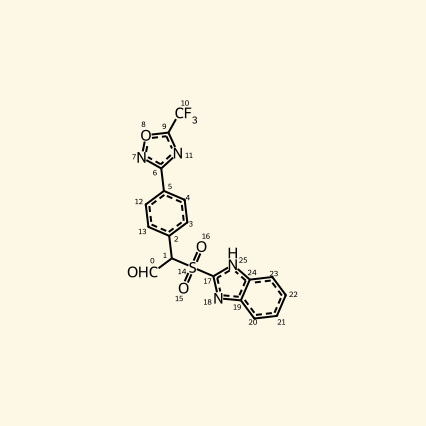 O=CC(c1ccc(-c2noc(C(F)(F)F)n2)cc1)S(=O)(=O)c1nc2ccccc2[nH]1